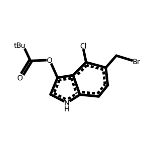 CC(C)(C)C(=O)Oc1c[nH]c2ccc(CBr)c(Cl)c12